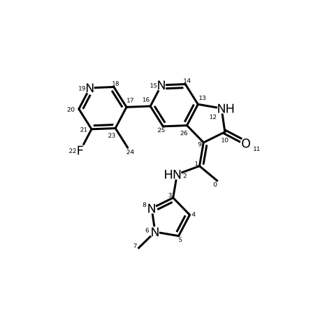 CC(Nc1ccn(C)n1)=C1C(=O)Nc2cnc(-c3cncc(F)c3C)cc21